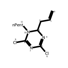 C=CCC1N=C(Cl)N=C(Cl)N1CCCCC